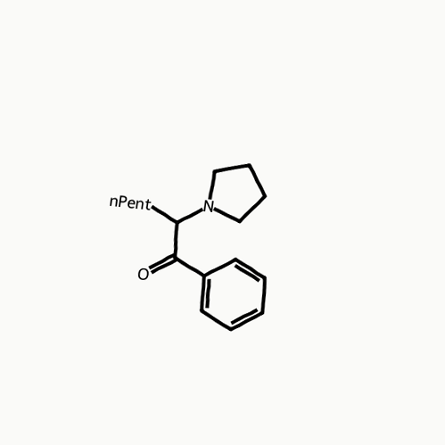 CCCCCC(C(=O)c1ccccc1)N1CCCC1